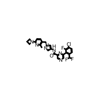 Cc1nc(N2CCC2)ccc1Cn1cc(NC(=O)c2cncc(-c3c(C(F)F)ccc(Cl)c3F)n2)cn1